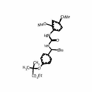 CCOC(=O)C(C)(C)Oc1ccc(C(NC(=O)Nc2ccc(OC)cc2OC)C(C)(C)C)cc1